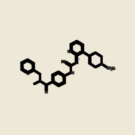 CCOC(=O)N1CC=C(c2ccc[nH]/c2=N\C(=N)Nc2ccc(C(=O)N(C)Cc3ccccn3)cc2)CC1